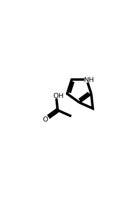 CC(=O)O.c1cc2c([nH]1)C2